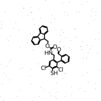 O=Cc1ccccc1-c1c(CNC(=O)OCC2c3ccccc3-c3ccccc32)cc(Cl)c(S)c1Cl